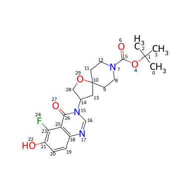 CC(C)(C)OC(=O)N1CCC2(CC1)CC(n1cnc3ccc(O)c(F)c3c1=O)CO2